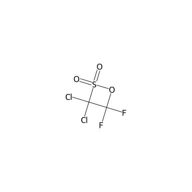 O=S1(=O)OC(F)(F)C1(Cl)Cl